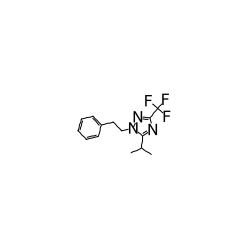 CC(C)c1nc(C(F)(F)F)nn1CCc1ccccc1